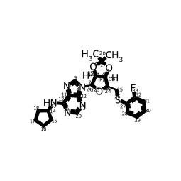 CC1(C)O[C@@H]2[C@H](O1)[C@H](n1cnc3c(NC4CCCC4)ncnc31)O[C@@H]2CSc1ccccc1F